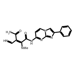 CN/C(C(=O)Nc1ccn2cc(-c3ccccc3)nc2n1)=C(\C=N)C(N)=O